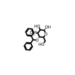 O=[N+]([O-])C1C(O)[C@@H](O)OC(CO)[C@@H]1OC(c1ccccc1)c1ccccc1